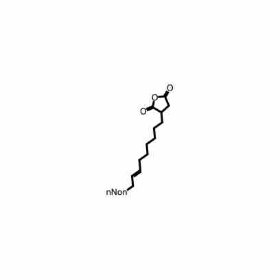 CCCCCCCCCC/C=C/CCCCCCC1CC(=O)OC1=O